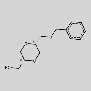 OC[C@@H]1CO[C@H](COCc2ccccc2)CO1